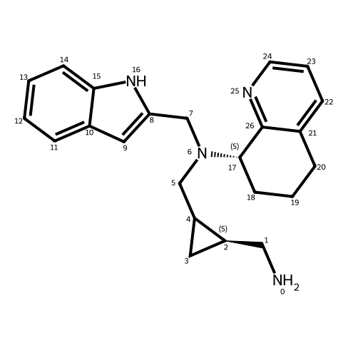 NC[C@H]1CC1CN(Cc1cc2ccccc2[nH]1)[C@H]1CCCc2cccnc21